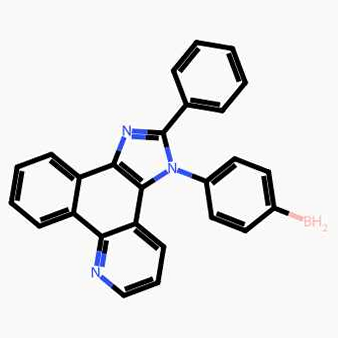 Bc1ccc(-n2c(-c3ccccc3)nc3c4ccccc4c4ncccc4c32)cc1